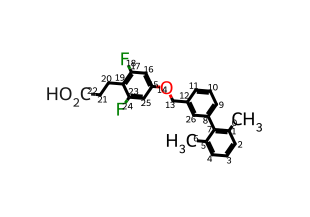 Cc1cccc(C)c1-c1cccc(COc2cc(F)c(CCC(=O)O)c(F)c2)c1